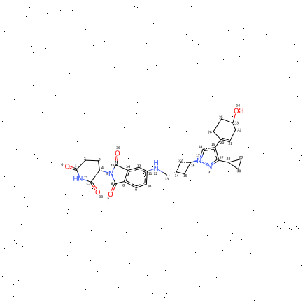 O=C1CCC(N2C(=O)c3ccc(NC[C@H]4C[C@H](n5cc(C6=CCC(O)CC6)c(C6CC6)n5)C4)cc3C2=O)C(=O)N1